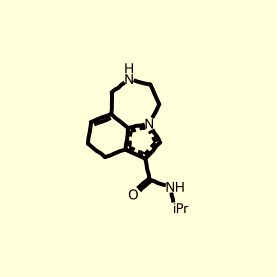 CC(C)NC(=O)c1cn2c3c1CCC=C3CNCC2